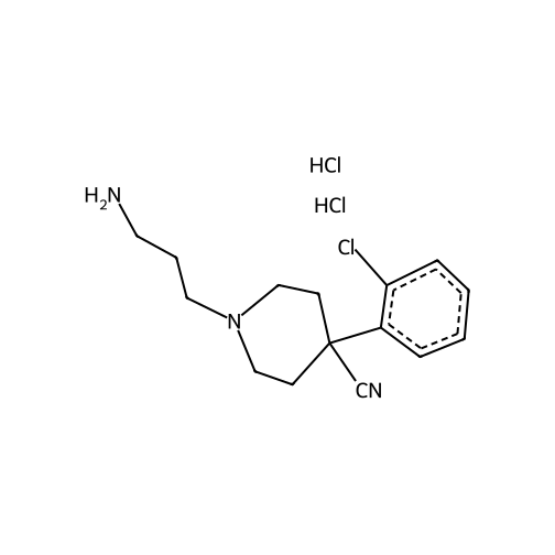 Cl.Cl.N#CC1(c2ccccc2Cl)CCN(CCCN)CC1